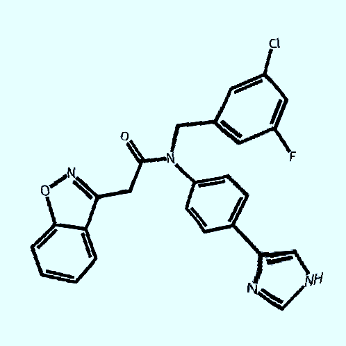 O=C(Cc1noc2ccccc12)N(Cc1cc(F)cc(Cl)c1)c1ccc(-c2c[nH]cn2)cc1